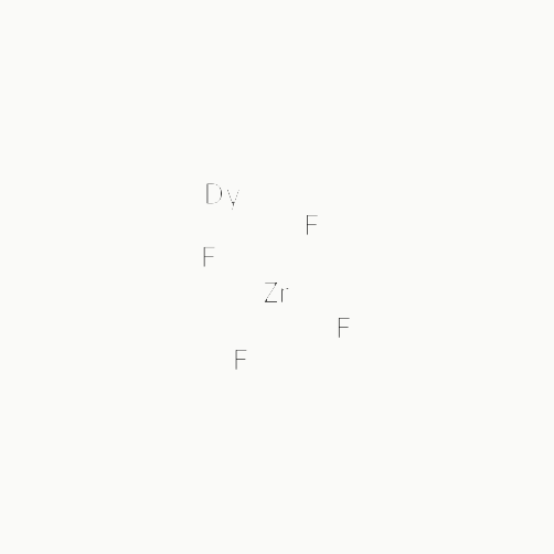 [Dy].[F][Zr]([F])([F])[F]